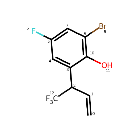 C=CC(c1cc(F)cc(Br)c1O)C(F)(F)F